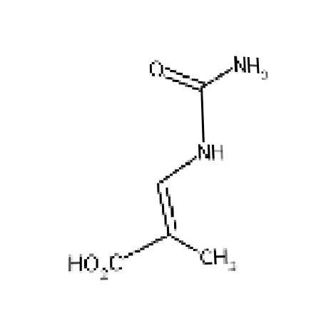 CC(=CNC(N)=O)C(=O)O